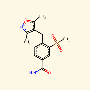 Cc1noc(C)c1Cc1ccc(C(N)=O)cc1S(C)(=O)=O